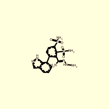 NN/N=C(\N)c1c(-c2cccc3cn[nH]c23)ccc(S(N)(=O)=O)c1S(N)(=O)=O